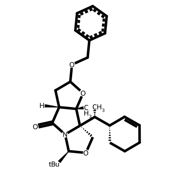 C[C@H]([C@@H]1C=CCCC1)[C@@]12CO[C@@H](C(C)(C)C)N1C(=O)[C@@H]1CC(OCc3ccccc3)O[C@@]12C